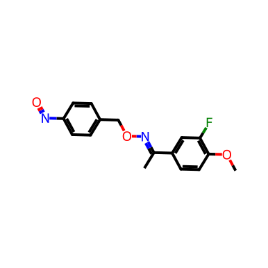 COc1ccc(/C(C)=N/OCc2ccc(N=O)cc2)cc1F